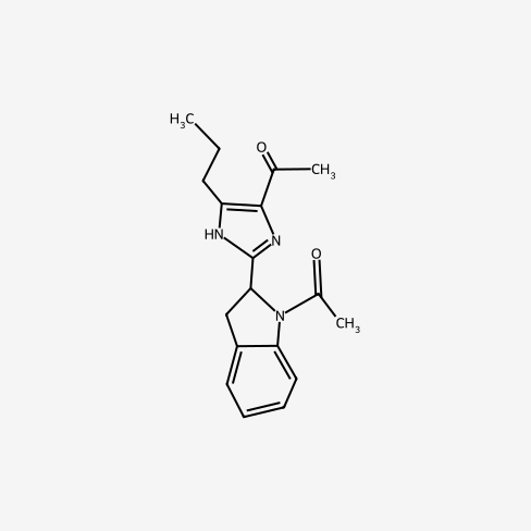 CCCc1[nH]c(C2Cc3ccccc3N2C(C)=O)nc1C(C)=O